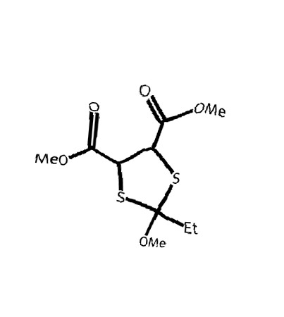 CCC1(OC)SC(C(=O)OC)C(C(=O)OC)S1